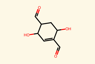 O=CC1=CC(O)C(C=O)CC1O